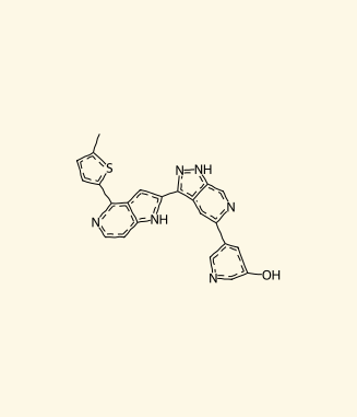 Cc1ccc(-c2nccc3[nH]c(-c4n[nH]c5cnc(-c6cncc(O)c6)cc45)cc23)s1